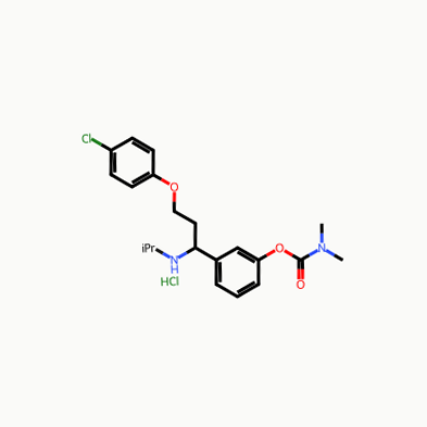 CC(C)NC(CCOc1ccc(Cl)cc1)c1cccc(OC(=O)N(C)C)c1.Cl